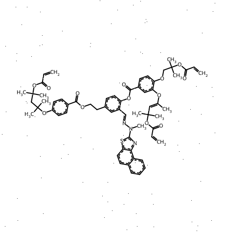 C=CC(=O)OC(C)(C)C=C(C)Oc1cc(C(=O)Oc2ccc(CCOC(=O)c3ccc(OC(C)(C)CC(C)(C)OC(=O)C=C)cc3)cc2/C=N/N(C)c2nc3c(ccc4ccccc43)s2)ccc1OCC(C)(C)OC(=O)C=C